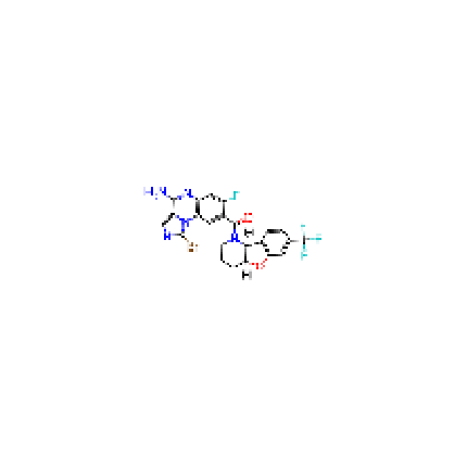 Nc1nc2cc(F)c(C(=O)N3CCC[C@@H]4Oc5cc(C(F)(F)F)ccc5[C@@H]43)cc2n2c(Br)ncc12